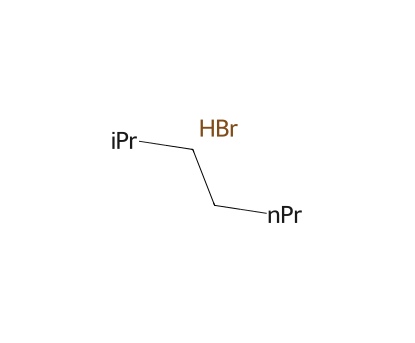 Br.CCCCCC(C)C